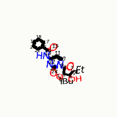 CCC(C)O[C@H]1C(O)[C@@H](CC)O[C@H]1n1ccc(NC(=O)c2ccccc2)nc1=O